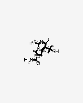 CC(C)C1=N[C@@H](C)C(C(C)(C)S)=C2C[C@@H](C(N)=O)CN12